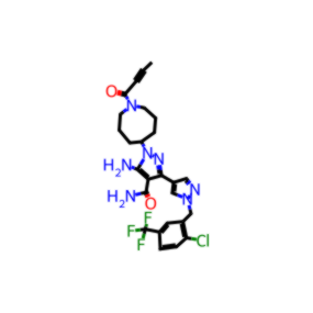 CC#CC(=O)N1CCCC(n2nc(-c3cnn(Cc4cc(C(F)(F)F)ccc4Cl)c3)c(C(N)=O)c2N)CCC1